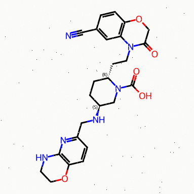 N#Cc1ccc2c(c1)N(CC[C@H]1CC[C@H](NCc3ccc4c(n3)NCCO4)CN1C(=O)O)C(=O)CO2